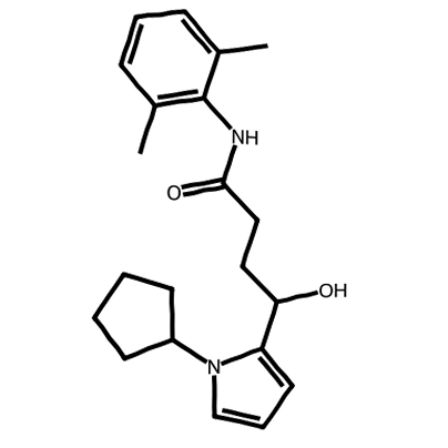 Cc1cccc(C)c1NC(=O)CCC(O)c1cccn1C1CCCC1